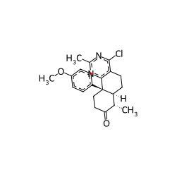 COc1ccc([C@]23CCC(=O)[C@@H](C)[C@@H]2CCc2c(Cl)nc(C)nc23)cc1